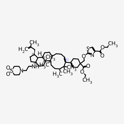 C=C(C)C[C@@H]1CC[C@]2(NCCN3CCS(=O)(=O)CC3)CC[C@]3(C)[C@H](CCC4CC/C=C(/C5=CCC(COc6nc(C(=O)OCC)cs6)(C(=O)OCC)CC5)C(C)(C)C(C)CC[C@]43C)C12